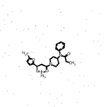 CCC(=O)N(c1ccccc1)C1CCN(C(CC(O)c2ccc(C)o2)OC)CC1